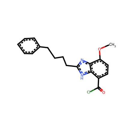 COc1ccc(C(=O)Cl)c2[nH]c(CCCCc3ccccc3)nc12